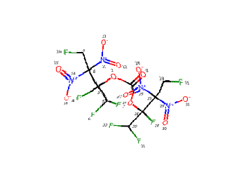 O=C(OC(F)(C(F)F)C(CF)([N+](=O)[O-])[N+](=O)[O-])OC(F)(C(F)F)C(CF)([N+](=O)[O-])[N+](=O)[O-]